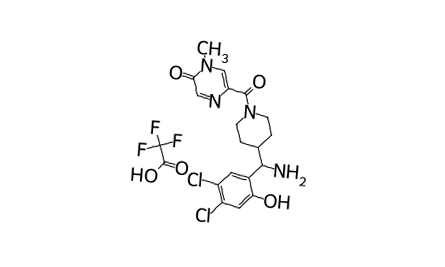 Cn1cc(C(=O)N2CCC(C(N)c3cc(Cl)c(Cl)cc3O)CC2)ncc1=O.O=C(O)C(F)(F)F